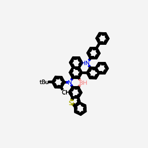 Cc1cc(C(C)(C)C)ccc1N1c2cc3sc4ccccc4c3cc2Bc2c1cc1ccccc1c2-c1ccc2ccccc2c1Nc1ccc(-c2ccccc2)cc1